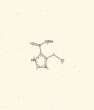 COC(=O)c1[nH]cnc1CCl